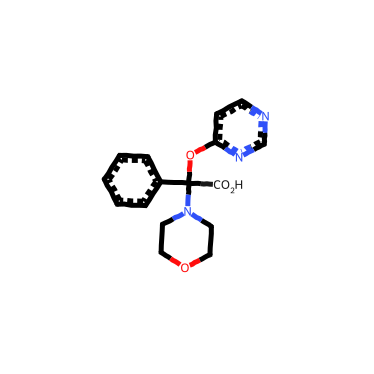 O=C(O)C(Oc1ccncn1)(c1ccccc1)N1CCOCC1